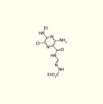 CCNc1nc(N)c(C(=O)NC=NNC(=O)OCC)nc1Cl